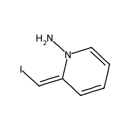 NN1C=CC=C/C1=C/I